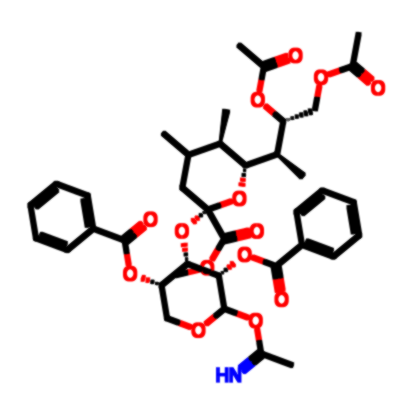 COC(=O)[C@@]1(O[C@H]2[C@@H](OC(=O)c3ccccc3)COC(OC(C)=N)[C@H]2OC(=O)c2ccccc2)CC(C)[C@@H](C)[C@H]([C@H](C)[C@@H](COC(C)=O)OC(C)=O)O1